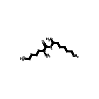 NCCCCCC(N)OC(=O)[C@@H](N)CCCCN